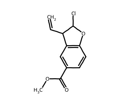 C=CC1c2cc(C(=O)OC)ccc2OC1Cl